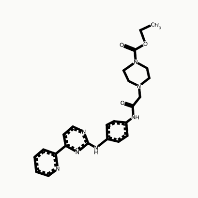 CCOC(=O)N1CCN(CC(=O)Nc2ccc(Nc3nccc(-c4ccccn4)n3)cc2)CC1